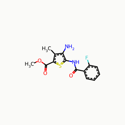 COC(=O)c1sc(NC(=O)c2ccccc2F)c(N)c1C